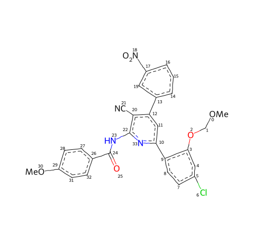 COCOc1cc(Cl)ccc1-c1cc(-c2cccc([N+](=O)[O-])c2)c(C#N)c(NC(=O)c2ccc(OC)cc2)n1